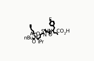 C#CCCCON(C(=O)CCCC)C(CC(OC(C)=O)c1nc(C(=O)NC(Cc2ccc(F)cc2)CC(C)C(=O)O)cs1)C(C)C